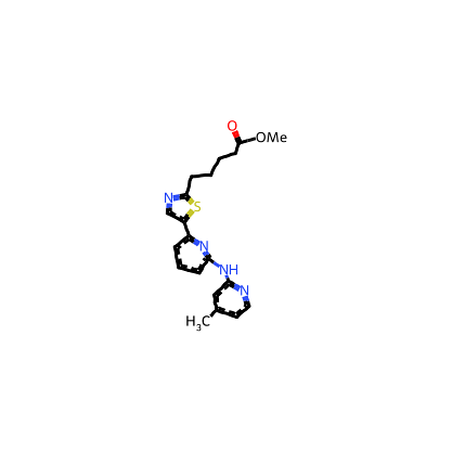 COC(=O)CCCCc1ncc(-c2cccc(Nc3cc(C)ccn3)n2)s1